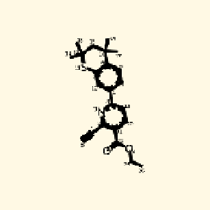 C#Cc1nc(-c2ccc3c(c2)SC(C)(C)CC3(C)C)ccc1C(=O)OCC